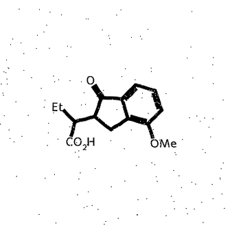 CCC(C(=O)O)C1Cc2c(OC)cccc2C1=O